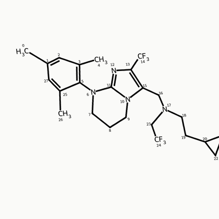 Cc1cc(C)c(N2CCCn3c2nc(C(F)(F)F)c3CN(CCC2CC2)CC(F)(F)F)c(C)c1